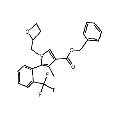 Cc1c(C(=O)OCc2ccccc2)cn(CC2CCO2)c1-c1ccccc1C(F)(F)F